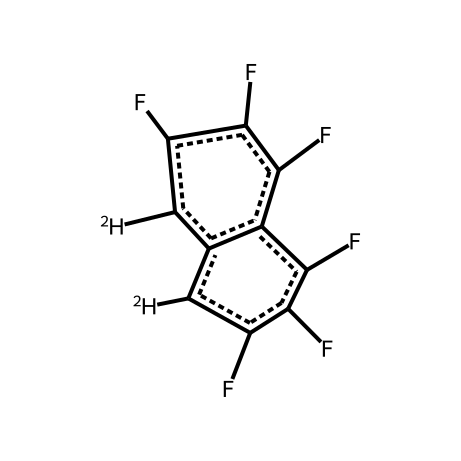 [2H]c1c(F)c(F)c(F)c2c(F)c(F)c(F)c([2H])c12